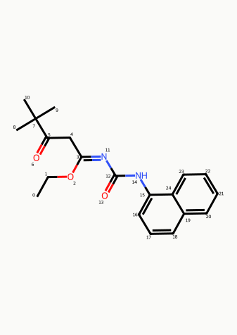 CCOC(CC(=O)C(C)(C)C)=NC(=O)Nc1cccc2ccccc12